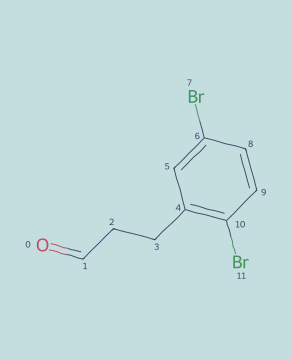 O=CCCc1cc(Br)ccc1Br